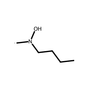 [CH2]N(O)CCCC